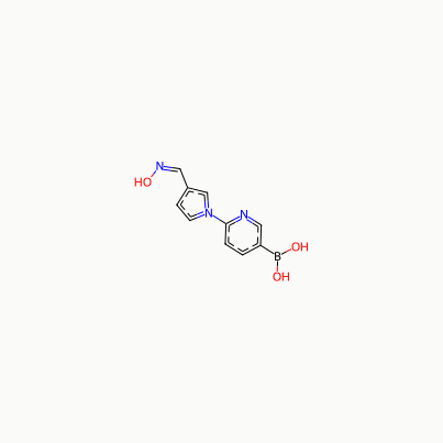 O/N=C\c1ccn(-c2ccc(B(O)O)cn2)c1